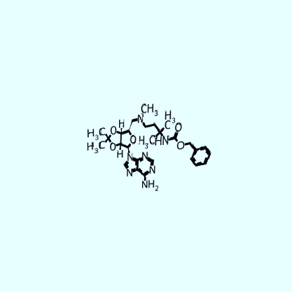 CN(CCC(C)(C)NC(=O)OCc1ccccc1)C[C@H]1O[C@@H](n2cnc3c(N)ncnc32)[C@@H]2OC(C)(C)O[C@@H]21